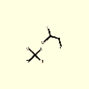 ClC(Cl)(Cl)Cl.ClCC(Cl)Cl